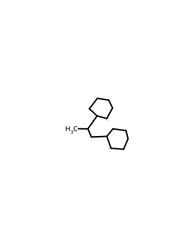 CC(CC1[CH]CCCC1)C1[CH]CCCC1